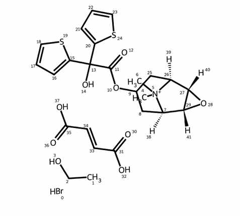 Br.CCO.C[N+]1(C)[C@@H]2CC(OC(=O)C(O)(c3cccs3)c3cccs3)C[C@H]1[C@@H]1O[C@@H]12.O=C(O)/C=C/C(=O)O